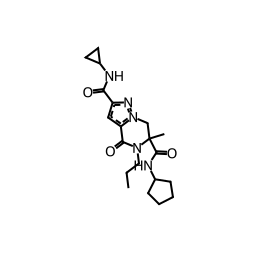 CCCN1C(=O)c2cc(C(=O)NC3CC3)nn2CC1(C)C(=O)NC1CCCC1